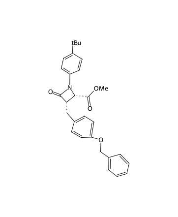 COC(=O)[C@@H]1[C@H](Cc2ccc(OCc3ccccc3)cc2)C(=O)N1c1ccc(C(C)(C)C)cc1